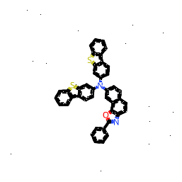 c1ccc(-c2nc3ccc4ccc(N(c5ccc6c(c5)sc5ccccc56)c5ccc6c(c5)sc5ccccc56)cc4c3o2)cc1